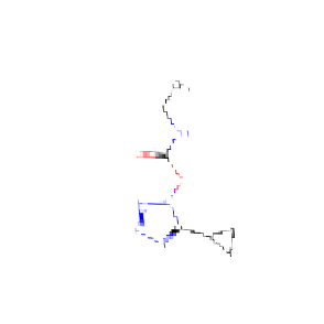 CCNC(=O)On1nnnc1C1CC1